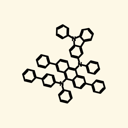 c1ccc(-c2ccc(N(c3ccccc3)c3c4ccc(-c5ccccc5)cc4c(N(c4ccccc4)c4ccc5c(c4)c4ccccc4n5-c4ccccc4)c4ccc(-c5ccccc5)cc34)cc2)cc1